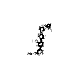 COc1cc(-c2ccc(-c3ccc(N4CCC(NC5(C)CCC5)C4)nn3)c(O)c2)cnn1